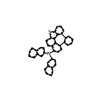 c1ccc2c(c1)-c1cccc3sc4ccc5c(N(c6ccc7ccccc7c6)c6ccc7ccccc7c6)ccc-2c5c4c13